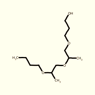 CCCCOC(C)COC(C)COCCCO